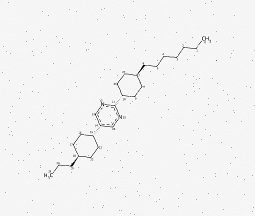 CCCCCCC[C@H]1CC[C@H](c2ncc([C@H]3CC[C@H](CCC)CC3)cn2)CC1